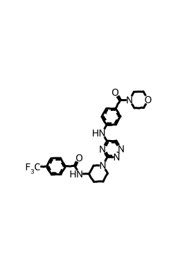 O=C(NC1CCCN(c2nncc(Nc3ccc(C(=O)N4CCOCC4)cc3)n2)C1)c1ccc(C(F)(F)F)cc1